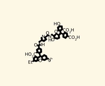 CCc1ccc2c(-c3ccc(C(=O)NCc4ccc(C(=O)NCc5c6oc7cc(O)ccc7c(-c7ccc(C(=O)O)cc7C(=O)O)c-6ccc5=O)nc4)cc3C(=O)O)c3ccc(=[N+](C)C)cc-3oc2c1